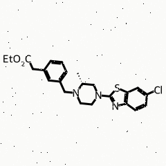 CCOC(=O)Cc1cccc(CN2CCN(c3nc4ccc(Cl)cc4s3)C[C@H]2C)c1